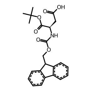 CC(C)(C)OC(=O)[C@@H](CC(=O)O)NC(=O)OCC1c2ccccc2-c2ccccc21